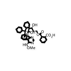 CONc1ncnc2c1ncn2[C@@]1(C(c2ccccc2)(c2ccccc2)c2ccccc2)C[C@H](O)[C@@H](COC(=O)c2ccccc2C(=O)O)O1